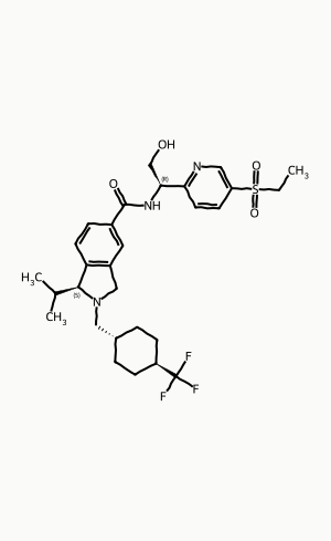 CCS(=O)(=O)c1ccc([C@H](CO)NC(=O)c2ccc3c(c2)CN(C[C@H]2CC[C@H](C(F)(F)F)CC2)[C@H]3C(C)C)nc1